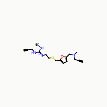 C#CCN/C(=N/CCSCc1ccc(CN(C)CC#C)o1)NC#N